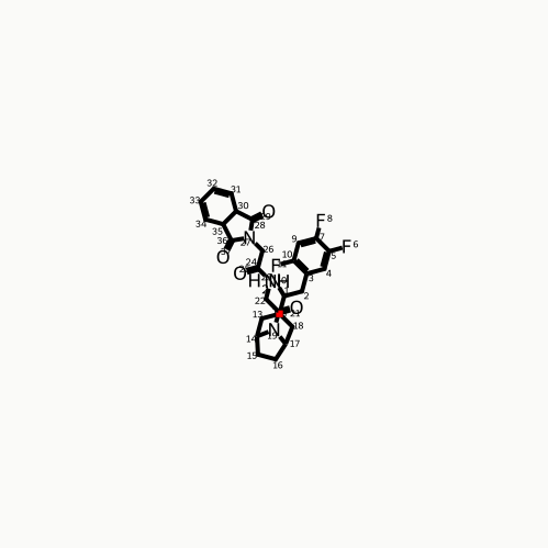 NC(Cc1cc(F)c(F)cc1F)C1CC2CCC(C1)N2C(=O)CNC(=O)CN1C(=O)C2C=CC=CC2C1=O